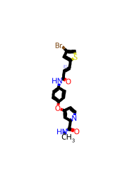 CNC(=O)c1cc(Oc2ccc(NC(=O)/C=C/c3cc(Br)cs3)cc2)ccn1